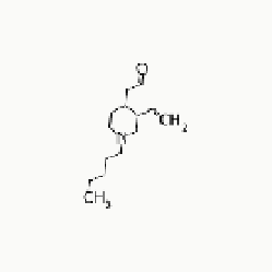 C=CC1CN(CCCCC)CCC1CC=O